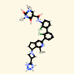 COc1nc(-c2cccc(-c3cccc(NC(=O)c4cn(C)c(=O)n(C)c4=O)c3Cl)c2Cl)cc2c1C(N1CC(c3nnn[nH]3)C1)CC2